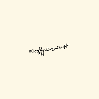 CCCCCCCCN(CC)C(=O)NCCOCCOCCOCCN=[N+]=[N-]